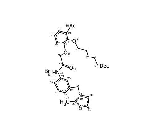 CCCCCCCCCCCCCCOc1c(OCC(=O)Nc2cccc(C[n+]3cscc3C)c2)cccc1C(C)=O.[Br-]